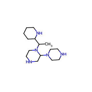 CC(C1CCCCN1)N1CCNCC1N1CCNCC1